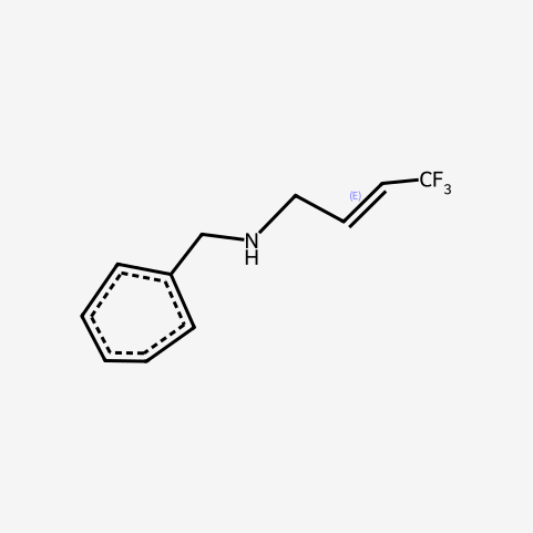 FC(F)(F)/C=C/CNCc1ccccc1